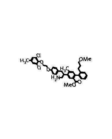 COCCCc1ccccc1-c1cc(C)c(C(CN)Cc2ccc(OCCOc3c(Cl)cc(C)cc3Cl)cc2)cc1C(=O)OC